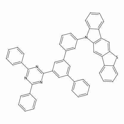 c1ccc(-c2cc(-c3cccc(-n4c5ccccc5c5cc6sc7ccccc7c6cc54)c3)cc(-c3nc(-c4ccccc4)nc(-c4ccccc4)n3)c2)cc1